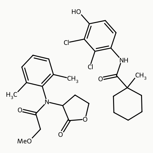 CC1(C(=O)Nc2ccc(O)c(Cl)c2Cl)CCCCC1.COCC(=O)N(c1c(C)cccc1C)C1CCOC1=O